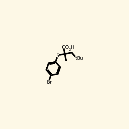 CC(C)(C)CC(C)(Sc1ccc(Br)cc1)C(=O)O